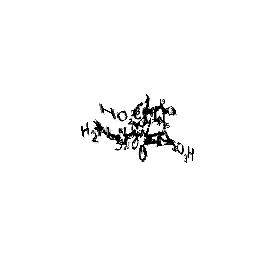 CC(C)(ON=C(C(=O)N[C@@H]1C(=O)N(S(=O)(=O)O)[C@H]1CN1CCCC1=O)c1csc(N)n1)C(=O)O